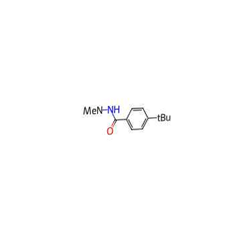 CNNC(=O)c1ccc(C(C)(C)C)cc1